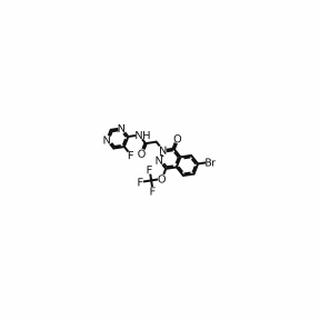 O=C(Cn1nc(OC(F)(F)F)c2ccc(Br)cc2c1=O)Nc1ncncc1F